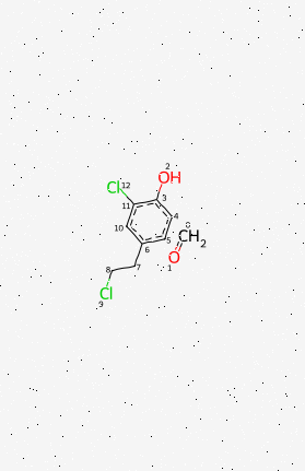 C=O.Oc1ccc(CCCl)cc1Cl